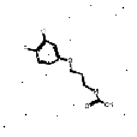 O=C(O)NCCCOc1ccc(F)c(Cl)c1